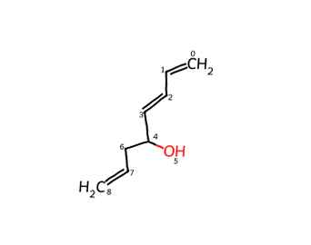 C=C/C=C/C(O)CC=C